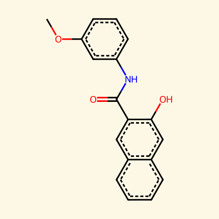 COc1cccc(NC(=O)c2cc3ccccc3cc2O)c1